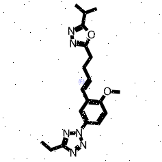 CCc1nnn(-c2ccc(OC)c(/C=C/CCc3nnc(C(C)C)o3)c2)n1